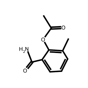 CC(=O)Oc1c(C)cccc1C(N)=O